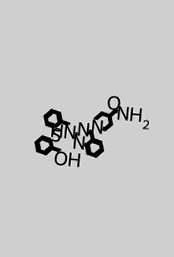 NC(=O)C1CCN(c2nc(NCc3ccccc3Sc3ccccc3CO)nc3ccccc23)CC1